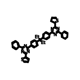 CCC(CC)(c1ccc(-c2nc(-c3ccccc3)nc(-c3cccs3)n2)cc1)c1ccc(-c2nc(C3=CCCC=C3)nc(C3CC=CS3)n2)cc1